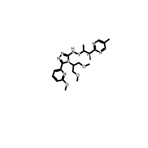 COCC(COC)n1c(NSC(C)[C@H](C)c2ncc(C)cn2)nnc1-c1cccc(OC)n1